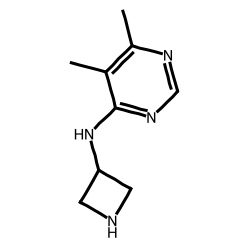 Cc1ncnc(NC2CNC2)c1C